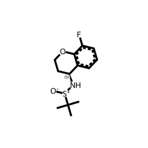 CC(C)(C)[S+]([O-])N[C@H]1CCOc2c(F)cccc21